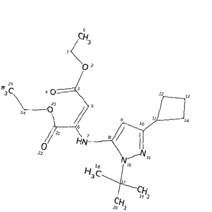 CCOC(=O)C=C(Nc1cc(C2CCC2)nn1C(C)(C)C)C(=O)OCC